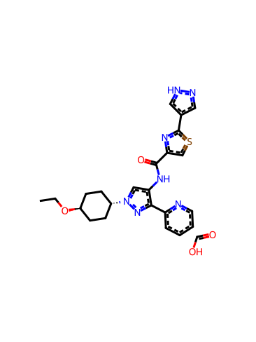 CCO[C@H]1CC[C@H](n2cc(NC(=O)c3csc(-c4cn[nH]c4)n3)c(-c3ccccn3)n2)CC1.O=CO